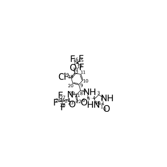 O=C1NC[C@@H](C(=O)N[C@H](c2ccc(OC(F)(F)F)c(Cl)c2)c2coc(C(F)(F)F)n2)N1